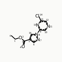 CCOC(=O)c1cnn(-c2cncc(Cl)n2)c1